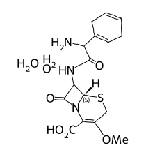 COC1=C(C(=O)O)N2C(=O)C(NC(=O)C(N)C3=CCC=CC3)[C@@H]2SC1.O.O